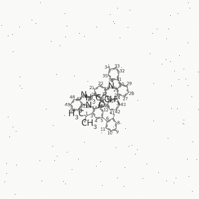 CC(C)c1cc(-c2ccccc2)cc(C(C)C)c1-n1c(-c2ccc(-n3c4ccccc4c4ccccc43)c3c2oc2ccccc23)nc2ccccc21